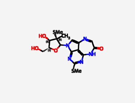 CSc1nc2c3c(cn(C4O[C@H](CO)[C@@H](O)[C@@]4(C)SC)c3n1)N=CC(=O)N2